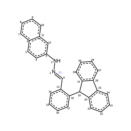 C(=N\Nc1ccc2ccccc2c1)/c1ccccc1C1c2ccccc2-c2ccccc21